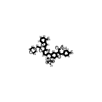 CNC(=O)c1c(-c2ccc(F)cc2)oc2cc(N(C)S(C)(=O)=O)c(-c3ccc4c(n3)-c3cc5c(F)cccc5n3C(CN3CCOCC3)O4)cc12